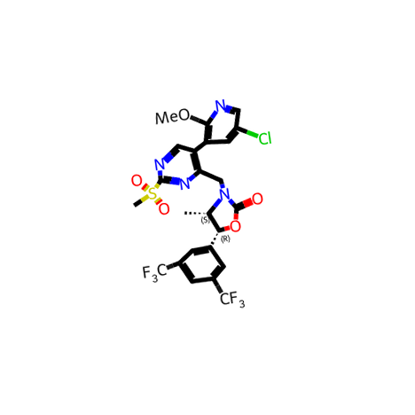 COc1ncc(Cl)cc1-c1cnc(S(C)(=O)=O)nc1CN1C(=O)O[C@H](c2cc(C(F)(F)F)cc(C(F)(F)F)c2)[C@@H]1C